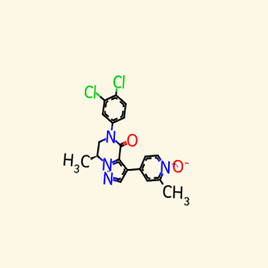 Cc1cc(-c2cnn3c2C(=O)N(c2ccc(Cl)c(Cl)c2)C[C@@H]3C)cc[n+]1[O-]